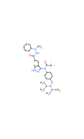 CC(C)N(Cc1ccc(N(C(=O)C(F)(F)F)c2n[nH]c3sc(C(=O)NN(C)c4ccccc4)cc23)cc1)C(C)C